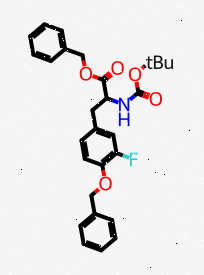 CC(C)(C)OC(=O)NC(Cc1ccc(OCc2ccccc2)c(F)c1)C(=O)OCc1ccccc1